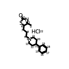 CC1=NC(=O)SC1CCCN1CCC(c2ccccc2)CC1.Cl